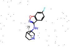 Fc1ccc2c(N[C@H]3CN4CCC3CC4)noc2c1